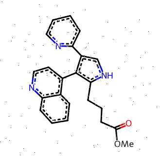 COC(=O)CCCc1[nH]cc(-c2ccccn2)c1-c1ccnc2ccccc12